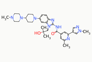 Cc1cc(C(=O)Nc2nc3ccc(N4CCC(N5CCN(C)CC5)CC4)cc3n2CC(C)(C)O)cc(-c2cnn(C)c2)n1